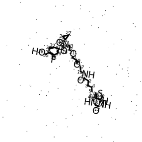 O=C(CCCC[C@@H]1SC[C@@H]2NC(=O)N[C@@H]21)NCCOCCOCCN(C1CC1)S(=O)(=O)c1ccc(CO)c(F)c1